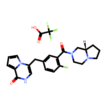 O=C(O)C(F)(F)F.O=C(c1cc(Cc2c[nH]c(=O)c3cccn23)ccc1F)N1CCN2CCC[C@H]2C1